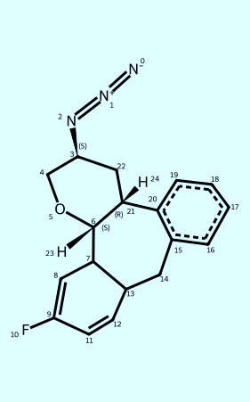 [N-]=[N+]=N[C@@H]1CO[C@H]2C3C=C(F)C=CC3Cc3ccccc3[C@H]2C1